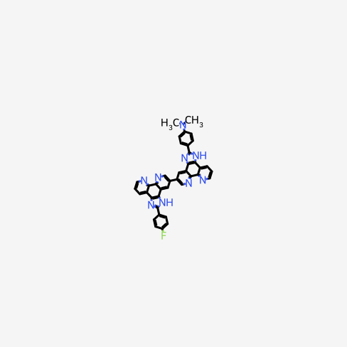 CN(C)c1ccc(-c2nc3c4cc(-c5cnc6c(c5)c5[nH]c(-c7ccc(F)cc7)nc5c5cccnc56)cnc4c4ncccc4c3[nH]2)cc1